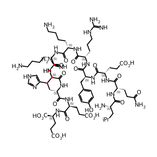 CC(C)C[C@H](N)C(=O)N[C@@H](CCC(N)=O)C(=O)N[C@@H](CCC(=O)O)C(=O)N[C@@H](Cc1ccc(O)cc1)C(=O)N[C@@H](CCCNC(=N)N)C(=O)N[C@@H](CCCCN)C(=O)N[C@@H](CCCCN)C(=O)N[C@@H](Cc1c[nH]cn1)C(=O)N[C@@H](CCCNC(=N)N)C(=O)N[C@@H](CCC(=O)O)C(=O)N[C@@H](CCC(=O)O)C(=O)O